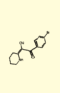 N#C/C(C(=O)c1ccc(Br)cc1)=C1\CCCCN1